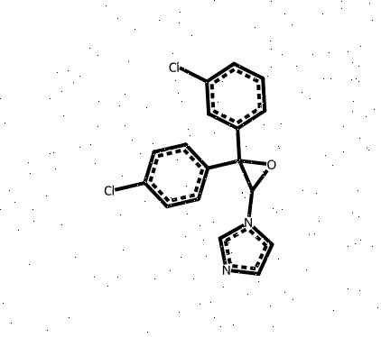 Clc1ccc(C2(c3cccc(Cl)c3)OC2n2ccnc2)cc1